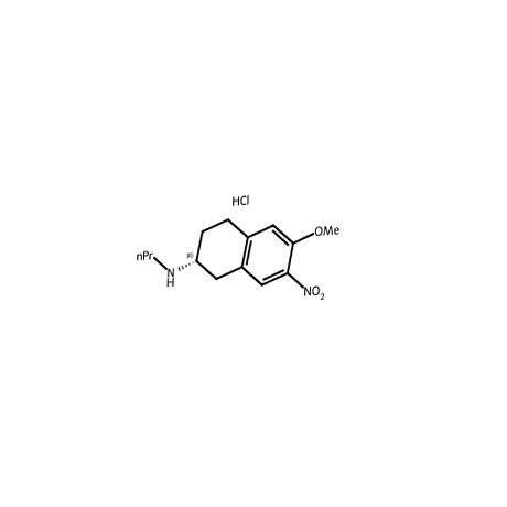 CCCN[C@@H]1CCc2cc(OC)c([N+](=O)[O-])cc2C1.Cl